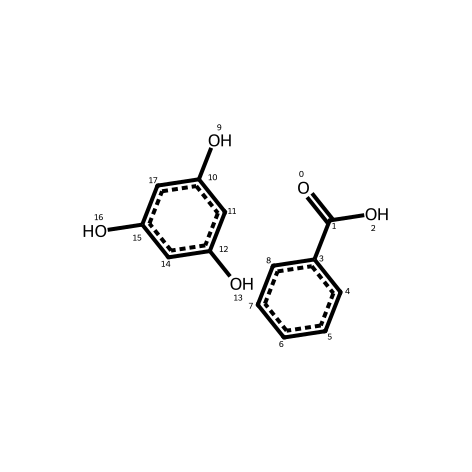 O=C(O)c1ccccc1.Oc1cc(O)cc(O)c1